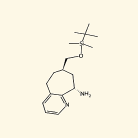 CC(C)(C)[Si](C)(C)OC[C@@H]1CCc2cccnc2[C@@H](N)C1